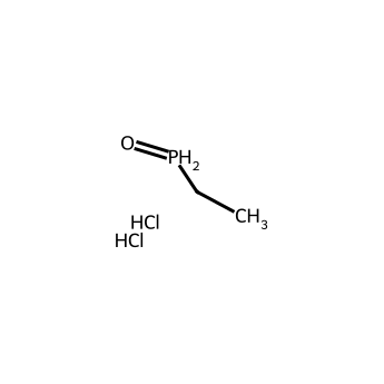 CC[PH2]=O.Cl.Cl